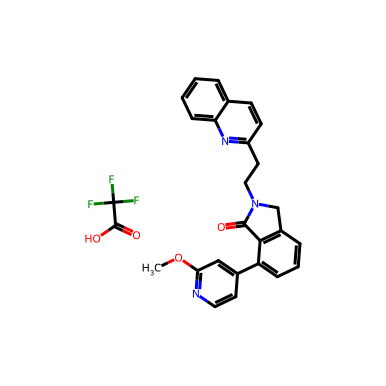 COc1cc(-c2cccc3c2C(=O)N(CCc2ccc4ccccc4n2)C3)ccn1.O=C(O)C(F)(F)F